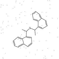 CC(SC(C)c1cccc2ccccc12)c1cccc2ccccc12